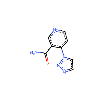 NC(=O)c1cnccc1-n1ccnn1